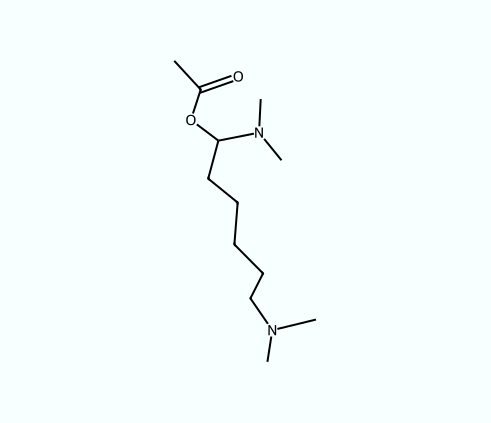 CC(=O)OC(CCCCCN(C)C)N(C)C